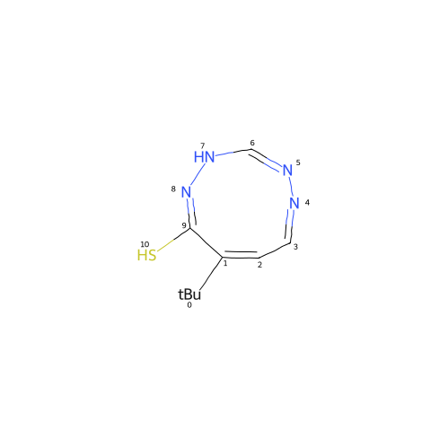 CC(C)(C)c1ccnnc[nH]nc1S